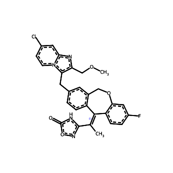 COCc1nc2cc(Cl)ccn2c1Cc1ccc2c(c1)COc1cc(F)ccc1/C2=C(\C)c1noc(=O)[nH]1